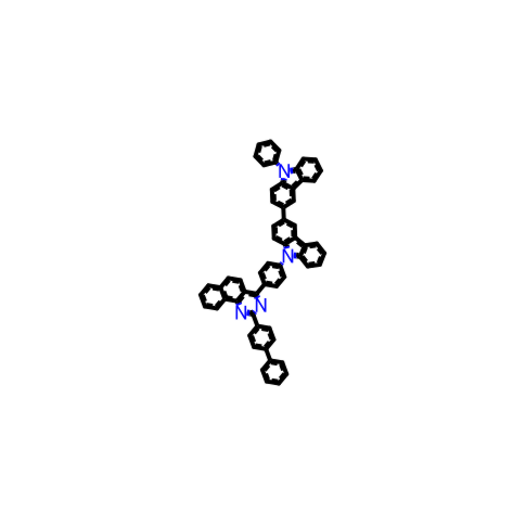 c1ccc(-c2ccc(-c3nc(-c4ccc(-n5c6ccccc6c6cc(-c7ccc8c(c7)c7ccccc7n8-c7ccccc7)ccc65)cc4)c4ccc5ccccc5c4n3)cc2)cc1